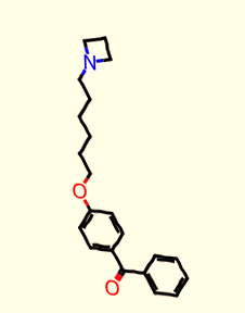 O=C(c1ccccc1)c1ccc(OCCCCCCN2CCC2)cc1